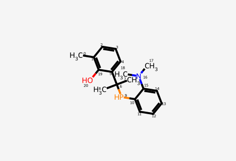 Cc1cccc(C(C)(C)Pc2ccccc2N(C)C)c1O